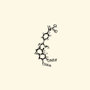 COc1cc2ncc3nc(-c4ccc(N[SH](=O)=O)cc4)n(C)c3c2cc1OC